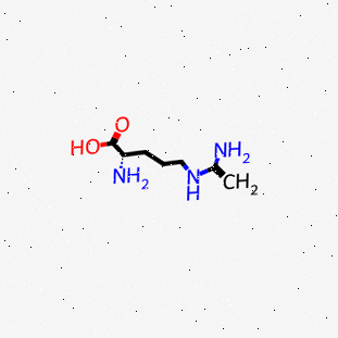 C=C(N)NCCC[C@H](N)C(=O)O